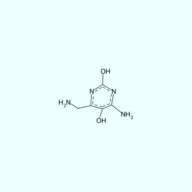 NCc1nc(O)nc(N)c1O